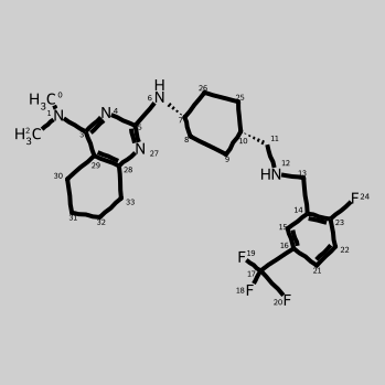 CN(C)c1nc(N[C@H]2CC[C@@H](CNCc3cc(C(F)(F)F)ccc3F)CC2)nc2c1CCCC2